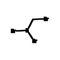 BrCB(Br)Br